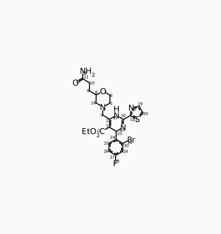 CCOC(=O)C1=C(CN2CCOC(CCC(N)=O)C2)NC(c2nccs2)=NC1c1ccc(F)cc1Br